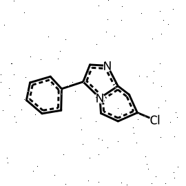 Clc1ccn2c(-c3ccccc3)cnc2c1